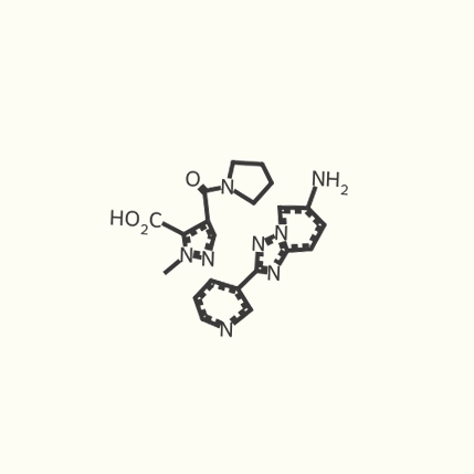 Cn1ncc(C(=O)N2CCCC2)c1C(=O)O.Nc1ccc2nc(-c3cccnc3)nn2c1